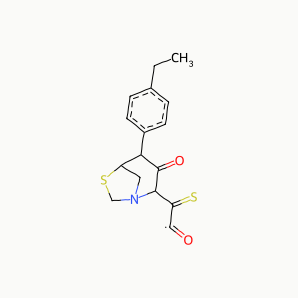 CCc1ccc(C2C(=O)C(C(=S)[C]=O)N3CSC2C3)cc1